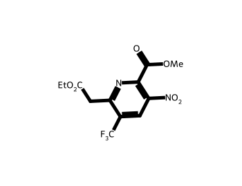 CCOC(=O)Cc1nc(C(=O)OC)c([N+](=O)[O-])cc1C(F)(F)F